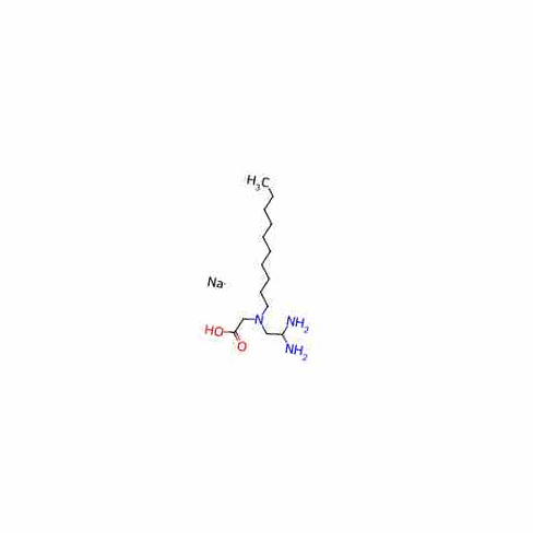 CCCCCCCCCCN(CC(=O)O)CC(N)N.[Na]